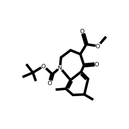 COC(=O)C1CCN(C(=O)OC(C)(C)C)C2=C(C)CC(C)C=C2C1=O